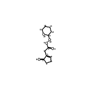 O=C(CC1=CCCC1=O)OOC1CCCCO1